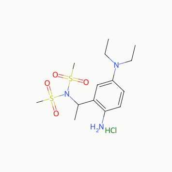 CCN(CC)c1ccc(N)c(C(C)N(S(C)(=O)=O)S(C)(=O)=O)c1.Cl